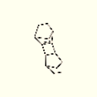 C1CC2CC1C1=C2C2C3CCC(C3)C12